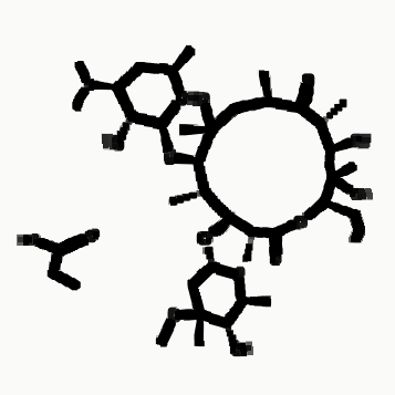 CCC(=O)O.CC[C@H]1OC(=O)[C@H](C)[C@@H](O[C@H]2C[C@@](C)(OC)[C@@H](O)[C@H](C)O2)[C@H](C)[C@@H](O[C@@H]2O[C@H](C)C[C@H](N(C)C)[C@H]2O)[C@](C)(O)C[C@@H](C)C(=O)[C@H](C)[C@@H](O)[C@]1(C)O